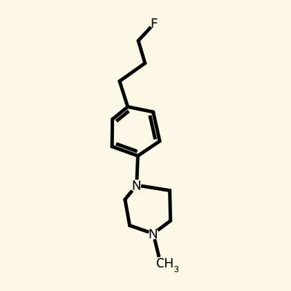 CN1CCN(c2ccc(CCCF)cc2)CC1